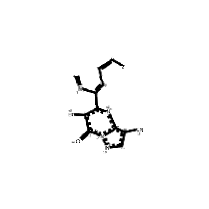 C=N/C(=C\C=C/C)c1[nH]c2c(C#N)cnn2c(=O)c1CC